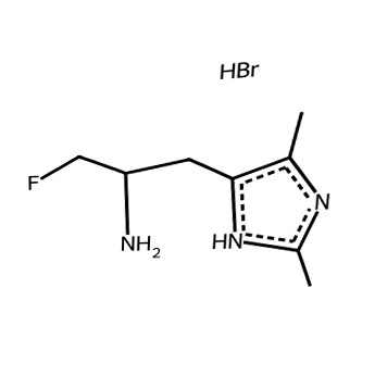 Br.Cc1nc(C)c(CC(N)CF)[nH]1